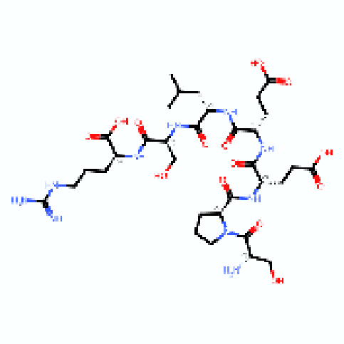 CC(C)C[C@H](NC(=O)[C@H](CCC(=O)O)NC(=O)[C@H](CCC(=O)O)NC(=O)[C@@H]1CCCN1C(=O)[C@@H](N)CO)C(=O)N[C@@H](CO)C(=O)N[C@@H](CCCNC(=N)N)C(=O)O